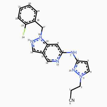 N#CCCn1ccc(Nc2cc3c(cn2)cnn3Cc2ccccc2F)n1